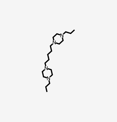 CCCN1CCN(CCCCCN2CCN(CCC)CC2)CC1